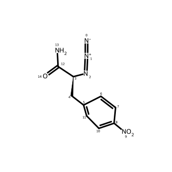 [N-]=[N+]=N[C@@H](Cc1ccc([N+](=O)[O-])cc1)C(N)=O